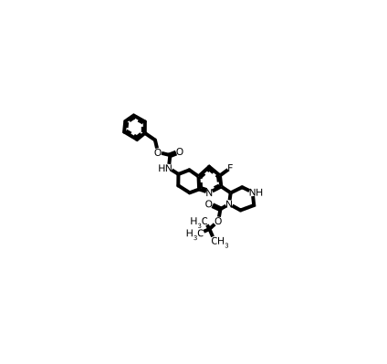 CC(C)(C)OC(=O)N1CCNCC1c1nc2c(cc1F)CC(NC(=O)OCc1ccccc1)CC2